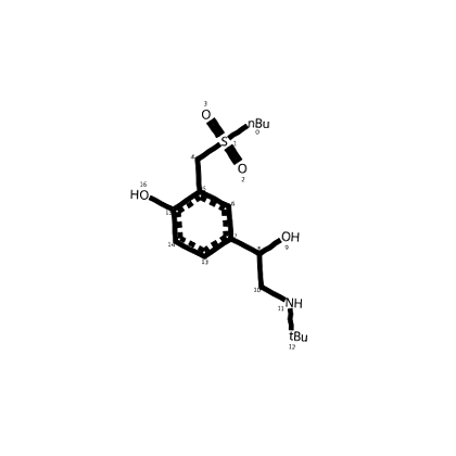 CCCCS(=O)(=O)Cc1cc(C(O)CNC(C)(C)C)ccc1O